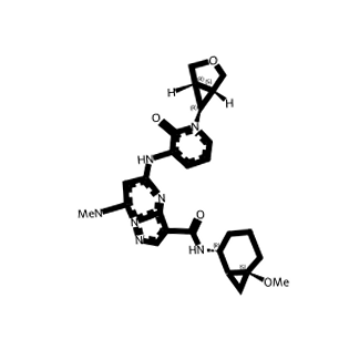 CNc1cc(Nc2cccn([C@H]3[C@@H]4COC[C@@H]43)c2=O)nc2c(C(=O)N[C@@H]3CCC[C@]4(OC)CC34)cnn12